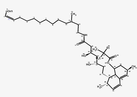 CCCCCCCC/C=C\CCCCCCCCN(C)CCNC(=O)C[C@H](O)C[C@@H](O)CC[C@@H]1C2C(=C[C@H](C)CC2OC(=O)C(C)(C)CC)C=C[C@@H]1C